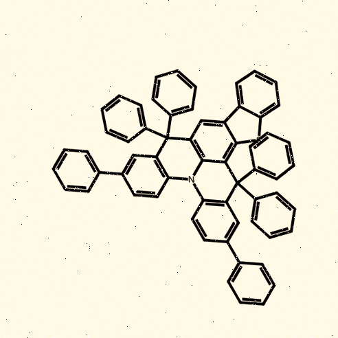 c1ccc(-c2ccc3c(c2)C(c2ccccc2)(c2ccccc2)c2cc4c(sc5ccccc54)c4c2N3c2ccc(-c3ccccc3)cc2C4(c2ccccc2)c2ccccc2)cc1